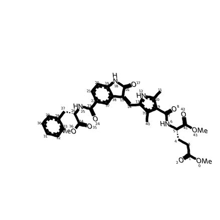 COC(=O)CC[C@H](NC(=O)c1c(C)[nH]c(/C=C2\C(=O)Nc3ccc(C(=O)N[C@@H](Cc4ccccc4)C(=O)OC)cc32)c1C)C(=O)OC